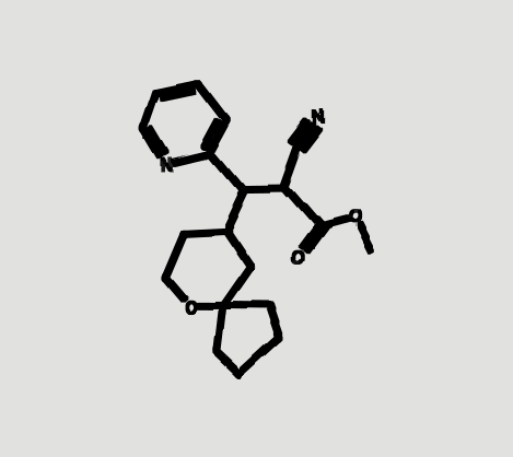 COC(=O)C(C#N)C(c1ccccn1)C1CCOC2(CCCC2)C1